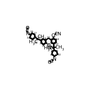 CC(C)(c1ccc(N=C=O)cc1)c1ccc(OC#N)c(Cc2cc(C(C)(C)c3ccc(N=C=O)cc3)ccc2OC#N)c1